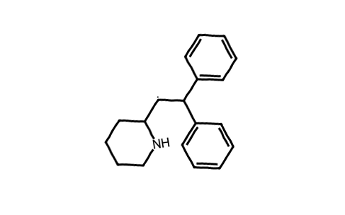 [CH](C1CCCCN1)C(c1ccccc1)c1ccccc1